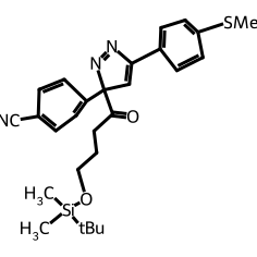 CSc1ccc(C2=CC(C(=O)CCCO[Si](C)(C)C(C)(C)C)(c3ccc(C#N)cc3)N=N2)cc1